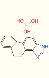 OB(O)O.c1ccc2c(c1)ccc1c2ccc2[nH]cnc21